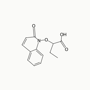 CCC(On1c(=O)ccc2ccccc21)C(=O)O